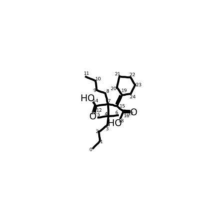 CCCCC(C)(C)C(CCCC)(C(=O)O)C(C(=O)O)=C1CCCCC1